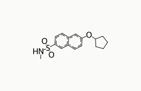 CNS(=O)(=O)c1ccc2cc(OC3CCCC3)ccc2c1